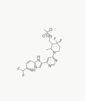 CC1C(CNS(C)(=O)=O)C(F)(F)CCN1c1cc(-c2cnc(/C=C\C(=N)C(F)F)[nH]2)ncn1